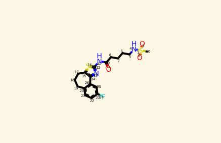 CS(=O)(=O)NCCCCC(=O)Nc1nc2c(s1)CCCc1ccc(F)cc1-2